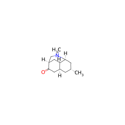 C[C@@H]1C[C@H]2CC(=O)[C@@H]3C[C@H]2[C@H](C1)N(C)C3